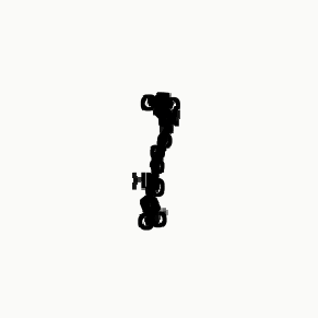 O=C(Cc1ccc([N+](=O)[O-])cc1)NCCOCCOCCOCCn1cc(CN2C(=O)C=CC2=O)nn1